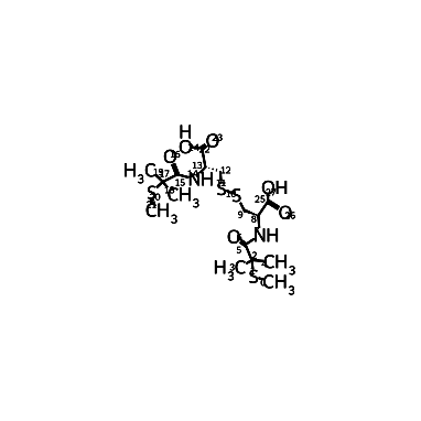 CSC(C)(C)C(=O)N[C@@H](CSSC[C@H](NC(=O)C(C)(C)SC)C(=O)O)C(=O)O